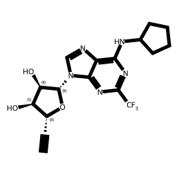 C#C[C@H]1O[C@@H](n2cnc3c(NC4CCCC4)nc(C(F)(F)F)nc32)[C@H](O)[C@@H]1O